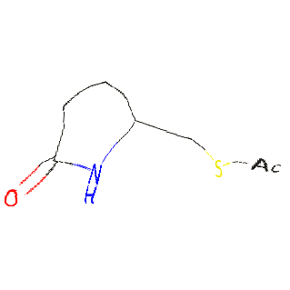 CC(=O)SCC1CCC(=O)N1